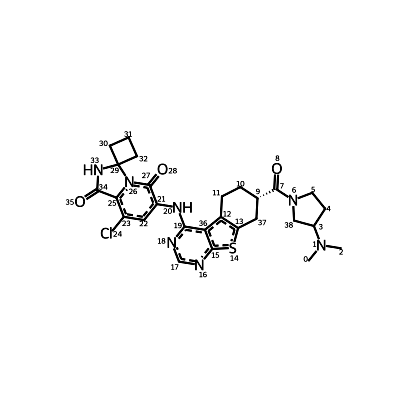 CN(C)C1CCN(C(=O)[C@H]2CCc3c(sc4ncnc(Nc5cc(Cl)c6n(c5=O)C5(CCC5)NC6=O)c34)C2)C1